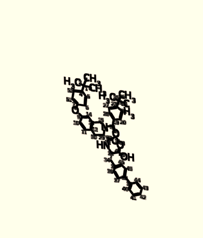 CC(C)(C)c1ccc(Oc2ccc3c(c2)CN(C(=O)c2ccc(C(C)(C)C)cc2)[C@H](C(=O)N[C@@H](Cc2ccc(-c4ccccc4)cc2)C(=O)O)C3)cc1